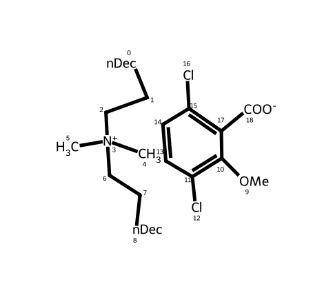 CCCCCCCCCCCC[N+](C)(C)CCCCCCCCCCCC.COc1c(Cl)ccc(Cl)c1C(=O)[O-]